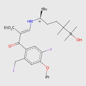 CCOC(=O)C(=CN[C@H](CCC(C)(C)[Si](C)(C)O)C(C)(C)C)C(=O)c1cc(I)c(OC(C)C)cc1CI